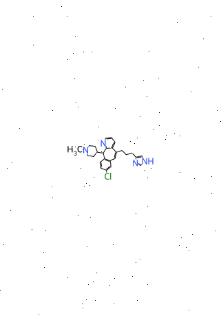 CN1CCC(C2c3ccc(Cl)cc3C=C(CCCc3c[nH]cn3)c3cccnc32)CC1